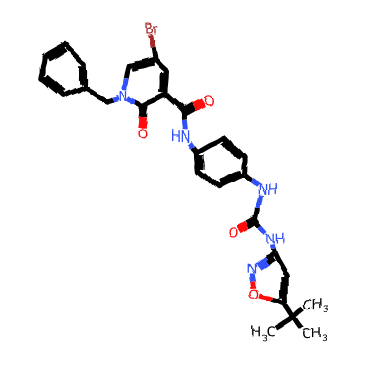 CC(C)(C)c1cc(NC(=O)Nc2ccc(NC(=O)c3cc(Br)cn(Cc4ccccc4)c3=O)cc2)no1